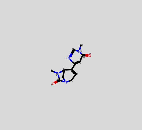 CN1C(=O)N2CC=C(c3cc(=O)n(C)cn3)C1C2